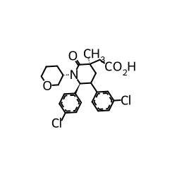 C[C@]1(CC(=O)O)CC(c2cccc(Cl)c2)[C@@H](c2ccc(Cl)cc2)N([C@H]2CCCOC2)C1=O